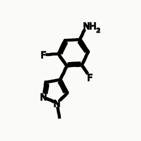 Cn1cc(-c2c(F)cc(N)cc2F)cn1